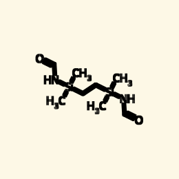 C[Si](C)(CC[Si](C)(C)NC=O)NC=O